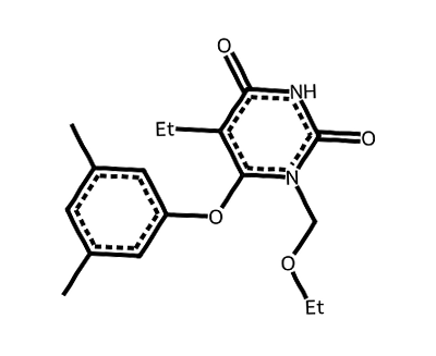 CCOCn1c(Oc2cc(C)cc(C)c2)c(CC)c(=O)[nH]c1=O